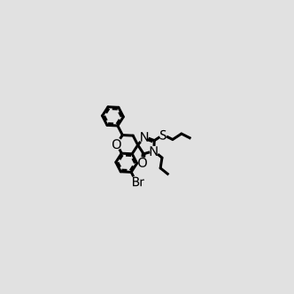 CCCSC1=NC2(CC(c3ccccc3)Oc3ccc(Br)cc32)C(=O)N1CCC